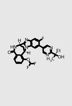 CC[C@@](C)(O)c1ncc(-c2cc3c(cc2F)nc2n3[C@@H]3C[C@H]2NC(=O)c2cccc(OC(F)F)c23)cn1